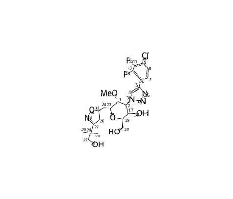 CO[C@@H]1[C@@H](n2cc(-c3ccc(Cl)c(F)c3F)nn2)[C@@H](O)[C@@H](CO)O[C@@H]1CC1CC(C(C)(C)CO)=NO1